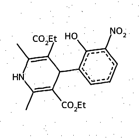 CCOC(=O)C1=C(C)NC(C)=C(C(=O)OCC)C1c1cccc([N+](=O)[O-])c1O